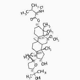 CO[C@H]1CC2C3(CC[C@]4(C)[C@@H]([C@@]5(C)CC[C@@H](C(C)(C)O)O5)[C@@H](O)C[C@@]24C)C[C@@]32CC[C@H](OC(=O)[C@H](NCl)C(C)C)C(C)(C)[C@H]12